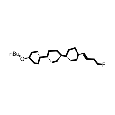 CCCCO[C@H]1CC[C@H]([C@H]2CC[C@H]([C@H]3CC[C@H](C=CCCF)CC3)CC2)CC1